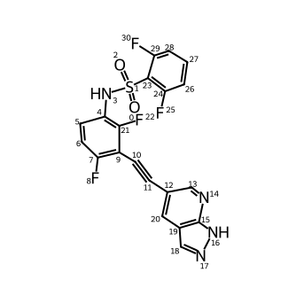 O=S(=O)(Nc1ccc(F)c(C#Cc2cnc3[nH]ncc3c2)c1F)c1c(F)cccc1F